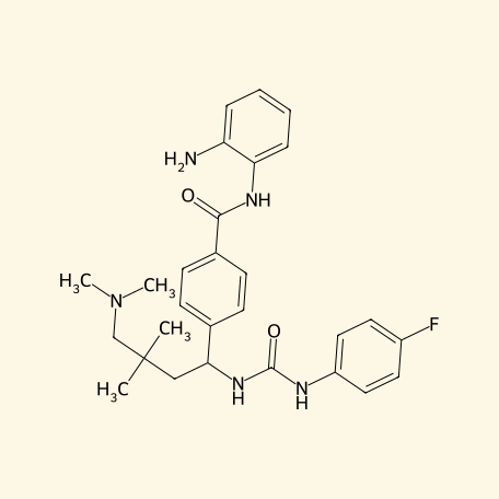 CN(C)CC(C)(C)CC(NC(=O)Nc1ccc(F)cc1)c1ccc(C(=O)Nc2ccccc2N)cc1